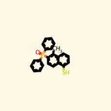 Cc1c(P(=O)(c2ccccc2)c2ccccc2)ccc2c(S)cccc12